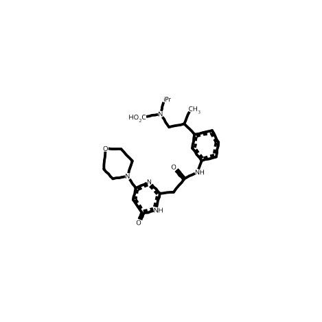 CC(CN(C(=O)O)C(C)C)c1cccc(NC(=O)Cc2nc(N3CCOCC3)cc(=O)[nH]2)c1